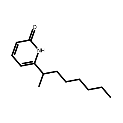 CCCCCCC(C)c1cccc(=O)[nH]1